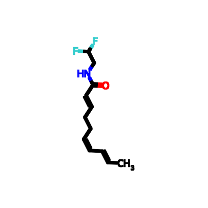 C/C=C/C=C\CC/C=C/C(=O)NCC(F)F